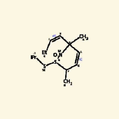 CC/C=C\C(C)(/C=C\C(C)SSC(C)C)[N+](=O)[O-]